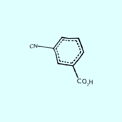 [C-]#[N+]c1cccc(C(=O)O)c1